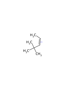 C/C=C\C(C)(C)C